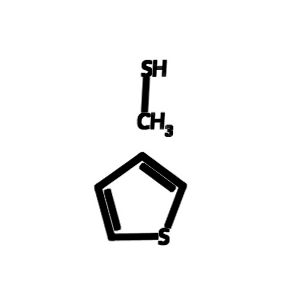 CS.c1ccsc1